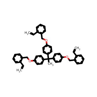 C=Cc1ccccc1COc1ccc(C(C)(c2ccc(OCc3ccccc3C=C)cc2)c2ccc(OCc3ccccc3C=C)cc2)cc1